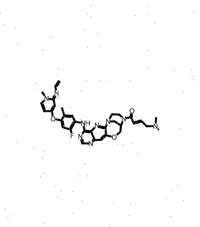 C=C/N=c1/cc(Oc2cc(F)c(Nc3ncnc4cc5c(nc34)N3CCN(C(=O)/C=C/CN(C)C)C(CO5)C3)cc2C)ccn1C